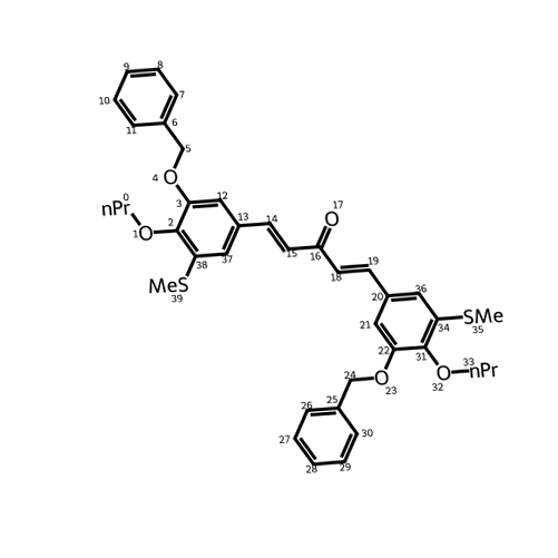 CCCOc1c(OCc2ccccc2)cc(C=CC(=O)C=Cc2cc(OCc3ccccc3)c(OCCC)c(SC)c2)cc1SC